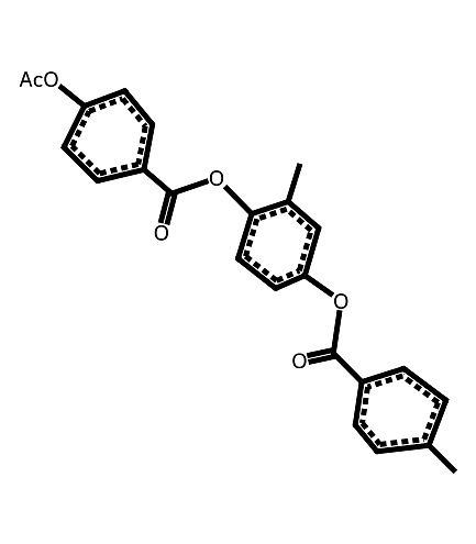 CC(=O)Oc1ccc(C(=O)Oc2ccc(OC(=O)c3ccc(C)cc3)cc2C)cc1